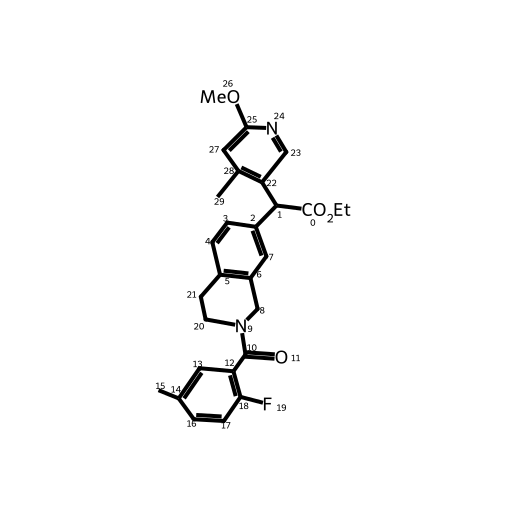 CCOC(=O)C(c1ccc2c(c1)CN(C(=O)c1cc(C)ccc1F)CC2)c1cnc(OC)cc1C